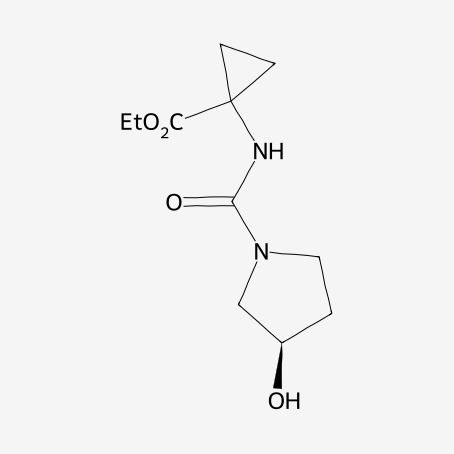 CCOC(=O)C1(NC(=O)N2CC[C@@H](O)C2)CC1